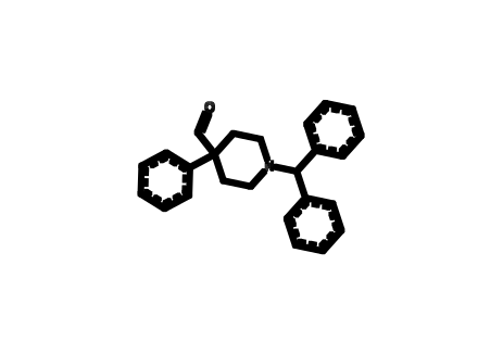 O=CC1(c2ccccc2)CCN(C(c2ccccc2)c2ccccc2)CC1